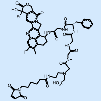 CC[C@@]1(O)C(=O)OCc2c1cc1n(c2=O)Cc2c-1nc1cc(F)c(C)c3c1c2C(NC(=O)CNC(=O)[C@H](Cc1ccccc1)NC(=O)CNC(=O)CNC(=O)CN(CCNC(=O)CCCCCN1C(=O)C=CC1=O)CC(=O)O)CC3